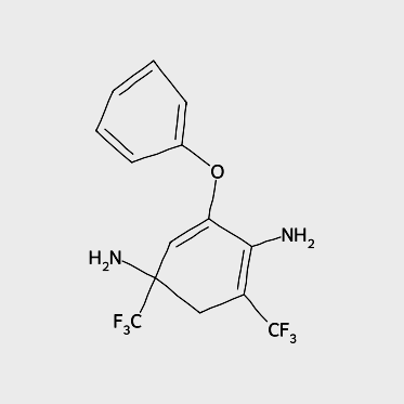 NC1=C(C(F)(F)F)CC(N)(C(F)(F)F)C=C1Oc1ccccc1